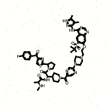 CNC(C)C(=O)N[C@H](C(=O)N1CCCC1c1nc(C(=O)c2ccc(F)cc2)cs1)C1CCN(C(=O)c2cnc(N3CCN(CCOc4cc5ncnc(Nc6n[nH]c(C)c6C)c5cc4S(=O)(=O)C(C)(C)C)CC3)cn2)CC1